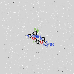 CNc1ncnc(-c2cccnc2Oc2cc(C(=O)Nc3cc(C(F)(F)F)ccc3NC3CCN(C)C(C)C3)c(F)cc2C)n1